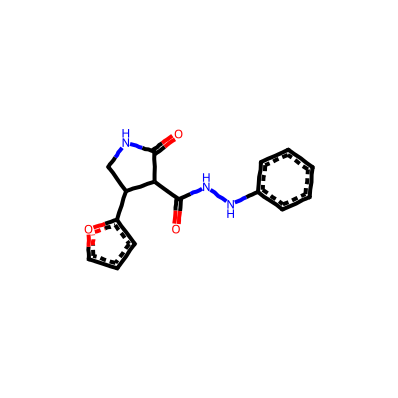 O=C1NCC(c2ccco2)C1C(=O)NNc1ccccc1